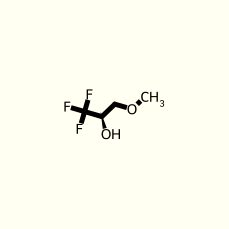 COC[C@@H](O)C(F)(F)F